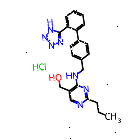 CCCc1ncc(CO)c(NCc2ccc(-c3ccccc3-c3nnn[nH]3)cc2)n1.Cl